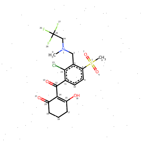 CN(Cc1c(S(C)(=O)=O)ccc(C(=O)C2=C(O)CCCC2=O)c1Cl)CC(F)(F)F